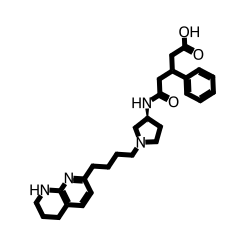 O=C(O)CC(CC(=O)N[C@H]1CCN(CCCCc2ccc3c(n2)NCCC3)C1)c1ccccc1